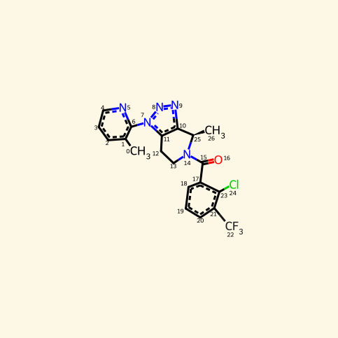 Cc1cccnc1-n1nnc2c1CCN(C(=O)c1cccc(C(F)(F)F)c1Cl)[C@@H]2C